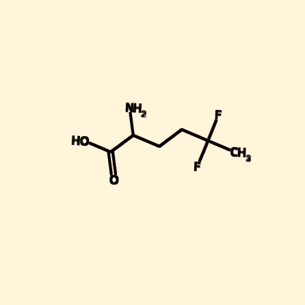 CC(F)(F)CCC(N)C(=O)O